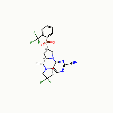 C=C([C@@H]1C[C@H](S(=O)(=O)c2ccccc2C(F)(F)F)CN1c1ccnc(C#N)n1)N1CCC(F)(F)C1